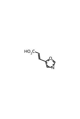 O=C(O)C=Cc1cnco1